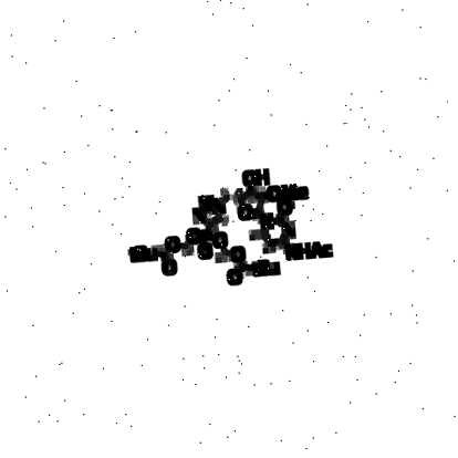 CO[C@@H]1[C@H](O)[C@@H](Cn2cc(P(=O)(OCOC(=O)C(C)(C)C)OCOC(=O)C(C)(C)C)nn2)O[C@H]1n1ccc(NC(C)=O)nc1=O